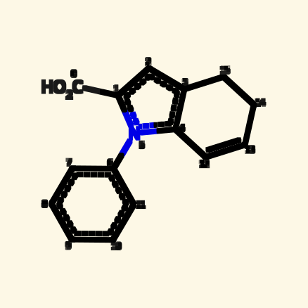 O=C(O)c1cc2c(n1-c1ccccc1)C=CCC2